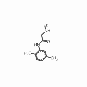 CCNCC(=O)Nc1cc(C)ccc1C